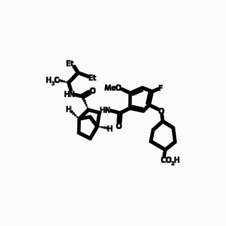 CCC(CC)[C@@H](C)NC(=O)[C@H]1[C@@H]2CC[C@@H](C2)[C@H]1NC(=O)c1cc(OC2CCC(C(=O)O)CC2)c(F)cc1OC